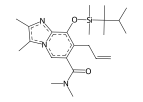 C=CCc1c(C(=O)N(C)C)cn2c(C)c(C)nc2c1O[Si](C)(C)C(C)(C)C(C)C